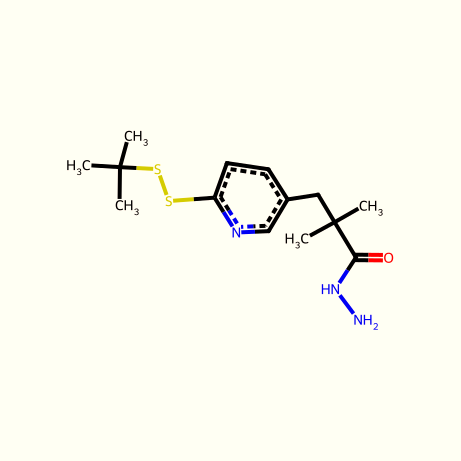 CC(C)(C)SSc1ccc(CC(C)(C)C(=O)NN)cn1